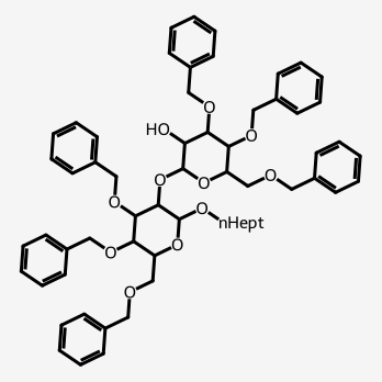 CCCCCCCOC1OC(COCc2ccccc2)C(OCc2ccccc2)C(OCc2ccccc2)C1OC1OC(COCc2ccccc2)C(OCc2ccccc2)C(OCc2ccccc2)C1O